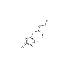 CCOC(=O)Cc1nc(Br)cs1